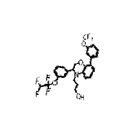 OCCCN1c2cccc(-c3cccc(OC(F)(F)F)c3)c2OCC1c1cccc(OC(F)(F)C(F)F)c1